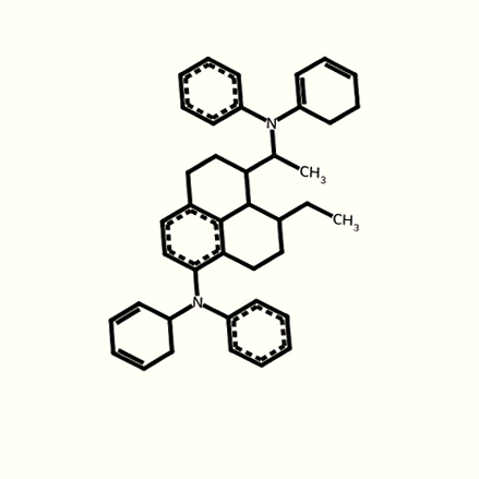 CCC1CCc2c(N(c3ccccc3)C3C=CC=CC3)ccc3c2C1C(C(C)N(C1=CC=CCC1)c1ccccc1)CC3